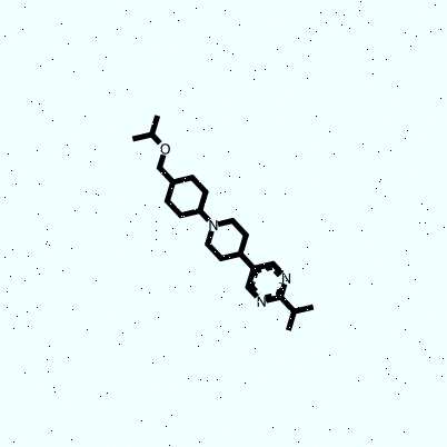 CC(C)OCC1CCC(N2CCC(c3cnc(C(C)C)nc3)CC2)CC1